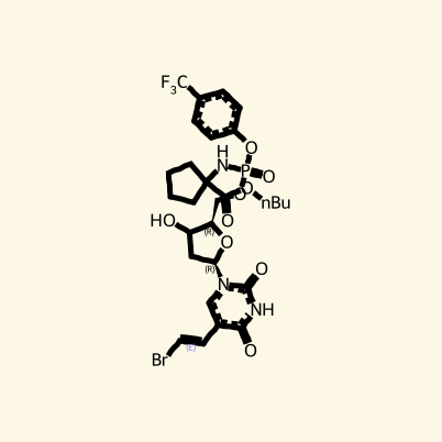 CCCCOC(=O)C1(NP(=O)(OC[C@H]2O[C@@H](n3cc(/C=C/Br)c(=O)[nH]c3=O)CC2O)Oc2ccc(C(F)(F)F)cc2)CCCC1